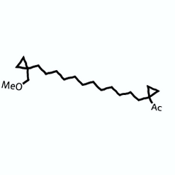 COCC1(CCCCCCCCCCCCC2(C(C)=O)CC2)CC1